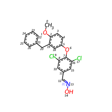 COc1ccc(Oc2c(Cl)cc(/C=N/O)cc2Cl)cc1Cc1ccccc1